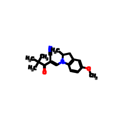 COc1ccc2c(c1)CC(C)N2C=C(C#N)C(=O)C(C)(C)C